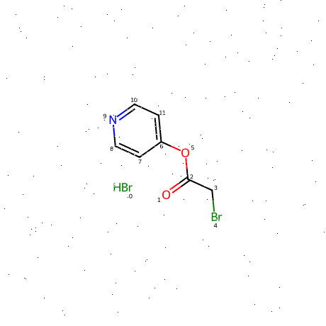 Br.O=C(CBr)Oc1ccncc1